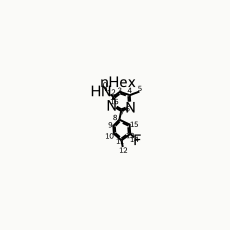 CCCCCCNc1cc(C)nc(-c2ccc(C)c(F)c2)n1